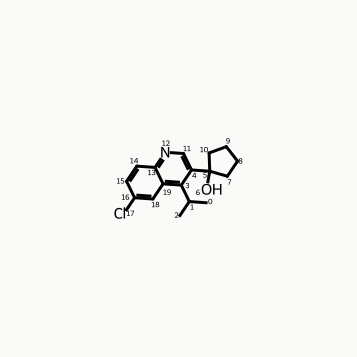 CC(C)c1c(C2(O)CCCC2)cnc2ccc(Cl)cc12